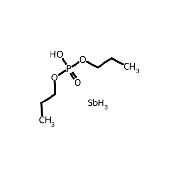 CCCOP(=O)(O)OCCC.[SbH3]